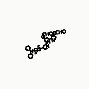 O=COc1ccnc(-c2cc(OC=O)cc(-c3cc(-c4cc5sc(N(c6ccccc6)c6ccccc6)cc5s4)ccn3)n2)c1